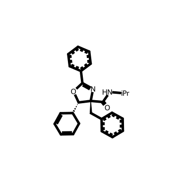 CC(C)NC(=O)[C@@]1(Cc2ccccc2)N=C(c2ccccc2)O[C@H]1C1C=CC=CC1